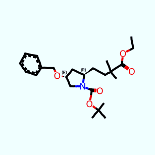 CCOC(=O)C(C)(C)CC[C@@H]1C[C@@H](OCc2ccccc2)CN1C(=O)OC(C)(C)C